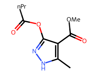 CCCC(=O)Oc1n[nH]c(C)c1C(=O)OC